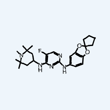 CN1C(C)(C)CC(Nc2nc(Nc3ccc4c(c3)OC3(CCCC3)O4)ncc2F)CC1(C)C